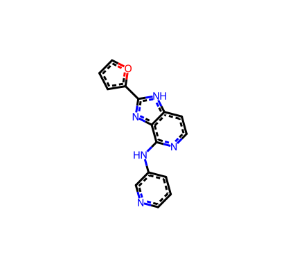 c1cncc(Nc2nccc3[nH]c(-c4ccco4)nc23)c1